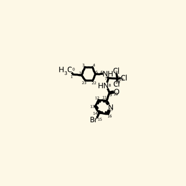 CCC1CCC(NC(NC(=O)c2ccc(Br)cn2)C(Cl)(Cl)Cl)CC1